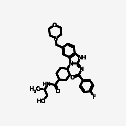 C[C@H](CO)NC(=O)C1CCC(n2/c(=N\C(=O)c3ccc(F)cc3)[nH]c3ccc(CN4CCOCC4)cc32)CC1